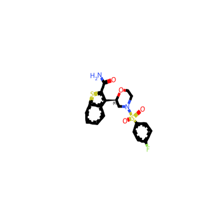 NC(=O)c1sc2ccccc2c1[C@@H]1CN(S(=O)(=O)c2ccc(F)cc2)CCO1